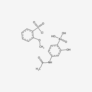 CC(=O)Nc1ccc([As](=O)(O)O)c(O)c1.COc1ccccc1S(=O)(=O)Cl